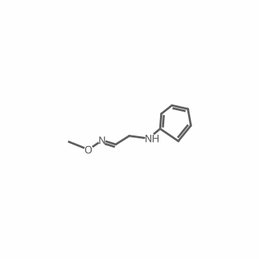 CON=CCNc1ccccc1